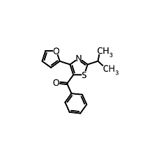 CC(C)c1nc(-c2ccco2)c(C(=O)c2ccccc2)s1